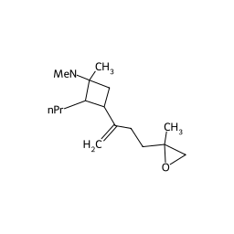 C=C(CCC1(C)CO1)C1CC(C)(NC)C1CCC